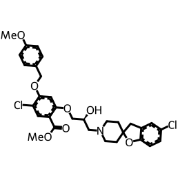 COC(=O)c1cc(Cl)c(OCc2ccc(OC)cc2)cc1OC[C@@H](O)CN1CCC2(CC1)Cc1cc(Cl)ccc1O2